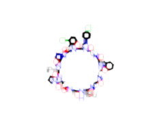 CC[C@H](C)[C@@H]1NC(=O)[C@H](C)N(C)C(=O)C[C@@H](C(=O)N2CCCC2)N(C)C(=O)[C@H](C(C)C)N(C)C(=O)C2(CCCC2)NC(=O)[C@H](Cc2ccccc2Cl)N(C)C(=O)[C@H](CCc2ccc(Cl)cc2)NC(=O)CN(C)C(=O)[C@H](CC2CCCCC2)N(C)C(=O)CN(C)C(=O)CN(C)C1=O